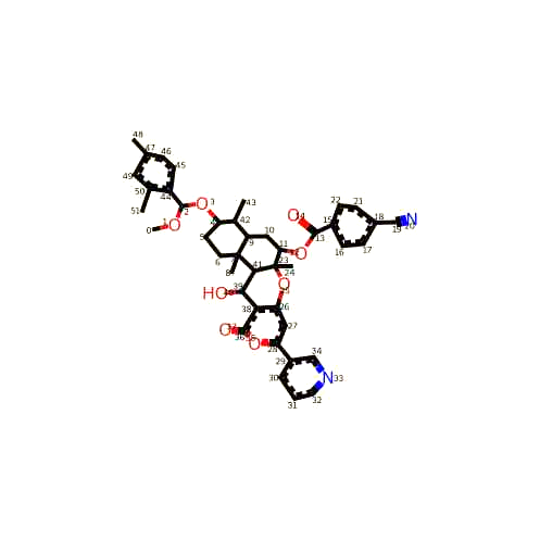 COC(OC1CCC2(C)C(CC(OC(=O)c3ccc(C#N)cc3)C3(C)Oc4cc(-c5cccnc5)oc(=O)c4C(O)C23)C1C)c1ccc(C)cc1C